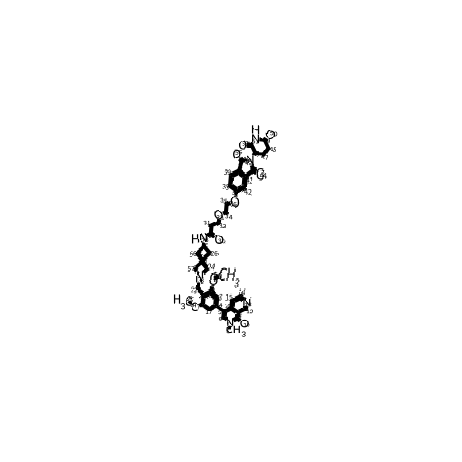 COc1cc(-c2cn(C)c(=O)c3cnccc23)cc(OC)c1CN1CC2(CC(NC(=O)CCOCCOc3ccc4c(c3)C(=O)N(C3CCC(=O)NC3=O)C4=O)C2)C1